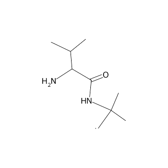 [CH2]C(C)(C)NC(=O)C(N)C(C)C